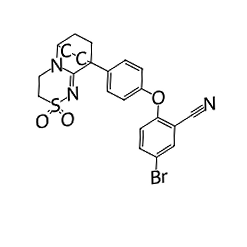 N#Cc1cc(Br)ccc1Oc1ccc(C23CCC(CC2)N2CCS(=O)(=O)N=C23)cc1